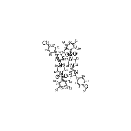 COc1ccc(-c2csc(N3CCN(S(=O)(=O)c4c(C)c(C)cc(C)c4C)CC3)n2)cc1.Cc1cc(C)c(C)c(S(=O)(=O)N2CCN(c3nc(-c4ccc(Cl)cc4)cs3)CC2)c1C